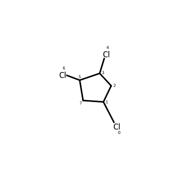 ClC1CC(Cl)C(Cl)C1